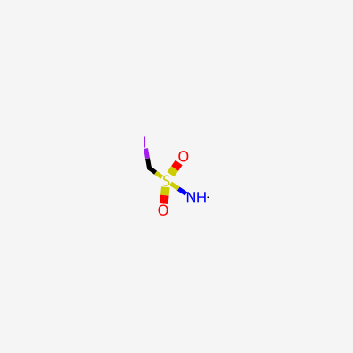 [NH]S(=O)(=O)CI